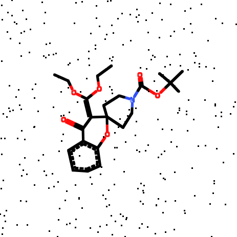 CCOC(OCC)=C1C(=O)c2ccccc2OC12CCN(C(=O)OC(C)(C)C)CC2